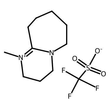 C[N+]1=C2CCCCCN2CCC1.O=S(=O)([O-])C(F)(F)F